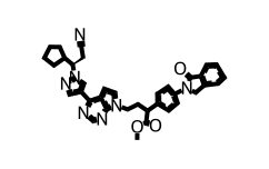 COC(=O)C(CCn1ccc2c(-c3cnn([C@H](CC#N)C4CCCC4)c3)ncnc21)c1ccc(N2Cc3ccccc3C2=O)cc1